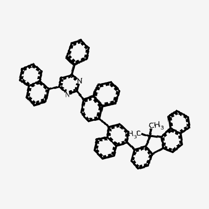 CC1(C)c2c(cccc2-c2ccc(-c3ccc(-c4nc(-c5ccccc5)cc(-c5cccc6ccccc56)n4)c4ccccc34)c3ccccc23)-c2ccc3ccccc3c21